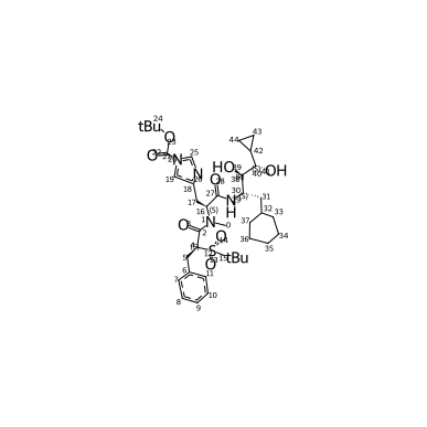 CN(C(=O)[C@H](Cc1ccccc1)S(=O)(=O)C(C)(C)C)[C@@H](Cc1cn(C(=O)OC(C)(C)C)cn1)C(=O)N[C@@H](CC1CCCCC1)[C@@H](O)[C@@H](O)C1CC1